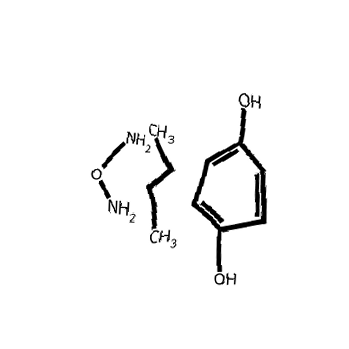 CCCC.NON.Oc1ccc(O)cc1